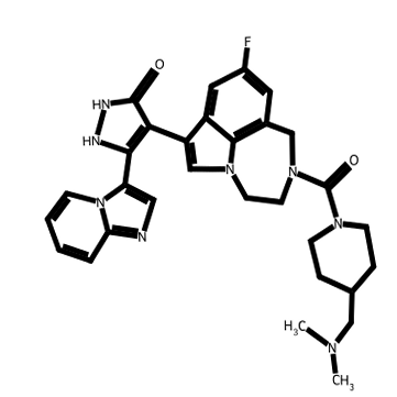 CN(C)CC1CCN(C(=O)N2CCn3cc(-c4c(-c5cnc6ccccn56)[nH][nH]c4=O)c4cc(F)cc(c43)C2)CC1